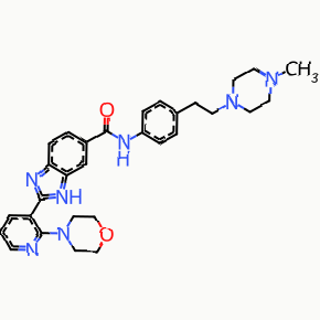 CN1CCN(CCc2ccc(NC(=O)c3ccc4nc(-c5cccnc5N5CCOCC5)[nH]c4c3)cc2)CC1